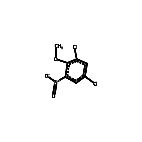 COc1c(Cl)cc(Cl)cc1[N+](=O)[O-]